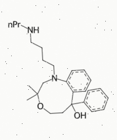 CCCNCCCCN1CC(C)(C)OCCC(O)(c2ccccc2)c2ccccc21